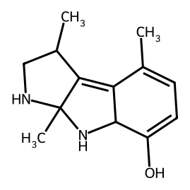 CC1=CC=C(O)C2NC3(C)NCC(C)C3=C12